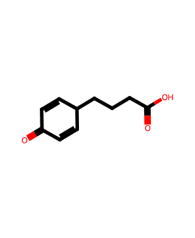 O=C1C=CC(CCCC(=O)O)C=C1